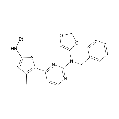 CCNc1nc(C)c(-c2ccnc(N(Cc3ccccc3)C3=COCO3)n2)s1